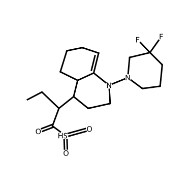 CCC(C(=O)[SH](=O)=O)C1CCN(N2CCCC(F)(F)C2)C2=CCCCC21